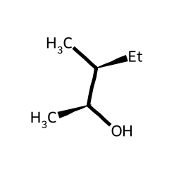 CC[C@H](C)[C@H](C)O